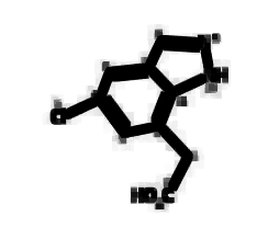 O=C(O)Cc1cc(Cl)cc2cn[nH]c12